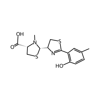 Cc1ccc(O)c(C2=NC([C@@H]3SC[C@H](C(=O)O)N3C)CS2)c1